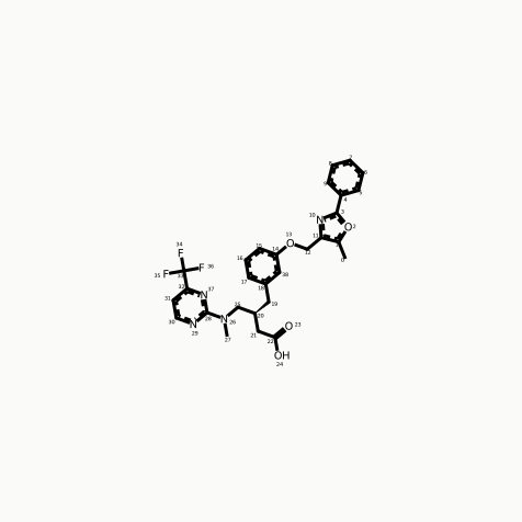 Cc1oc(-c2ccccc2)nc1COc1cccc(C[C@@H](CC(=O)O)CN(C)c2nccc(C(F)(F)F)n2)c1